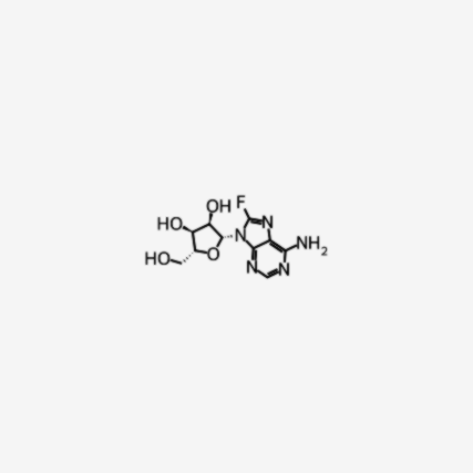 Nc1ncnc2c1nc(F)n2[C@@H]1O[C@H](CO)[C@@H](O)[C@H]1O